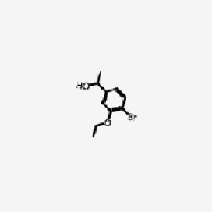 CCOc1cc(C(C)O)ccc1Br